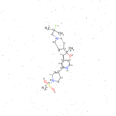 CC(C)(F)CN1CCC(C2(C)Cc3cc(C4=CCN(S(C)(=O)=O)CC4)ncc3O2)CC1